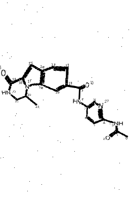 CC(=O)Nc1ccc(NC(=O)c2ccc3cc4n(c3c2)C(C)CNC4=O)cn1